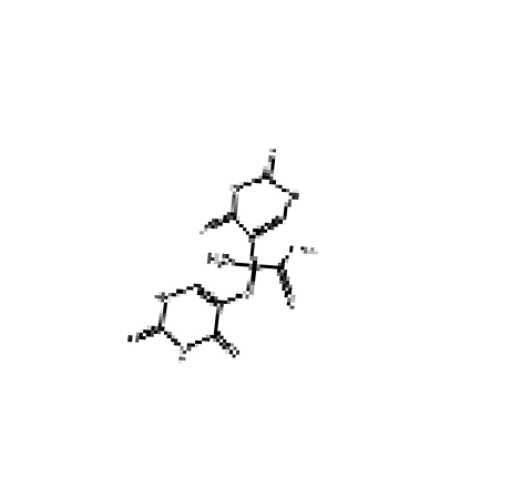 COC(=O)C(C)(Oc1c[nH]c(=O)[nH]c1=O)c1c[nH]c(=O)[nH]c1=O